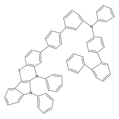 c1ccc(-c2ccccc2-c2ccc(N(c3ccccc3)c3cccc(-c4ccc(-c5ccc6c(c5)N(c5ccccc5)c5c(c7ccccc7n5-c5ccccc5)S6)cc4)c3)cc2)cc1